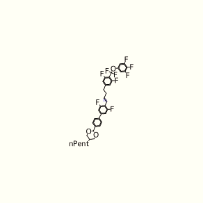 CCCCCC1COC(c2ccc(-c3cc(F)c(/C=C/CCc4cc(F)c(C(F)(F)Oc5cc(F)c(F)c(F)c5)c(F)c4)c(F)c3)cc2)OC1